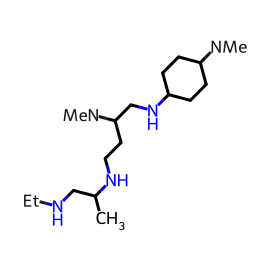 CCNCC(C)NCCC(CNC1CCC(NC)CC1)NC